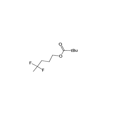 CC(F)(F)CCCOC(=O)C(C)(C)C